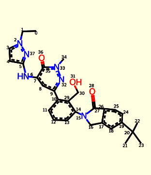 CCn1ccc(Nc2cc(-c3cccc(N4Cc5cc(C(C)(C)C)ccc5C4=O)c3CO)nn(C)c2=O)n1